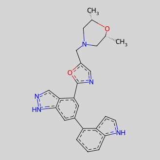 C[C@@H]1CN(Cc2cnc(-c3cc(-c4cccc5[nH]ccc45)cc4[nH]ncc34)o2)C[C@H](C)O1